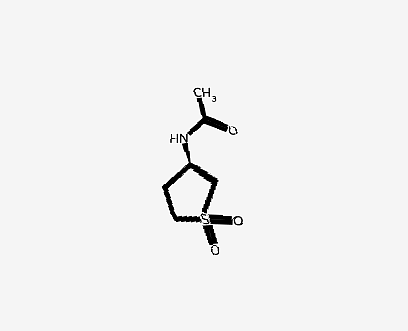 CC(=O)N[C@@H]1CCS(=O)(=O)C1